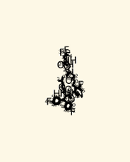 CC(C)COC(=O)N[C@H](C(=O)Nc1cncc(F)c1CC[C@@H]1CN[C@H](COC(=O)NCC(F)(F)F)CO1)C(c1ccc(F)cc1)c1ccc(F)cc1